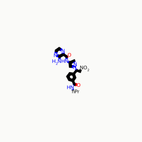 CCCNC(=O)c1cccc(C(C[N+](=O)[O-])n2cc(NC(=O)c3nccnc3N)cn2)c1